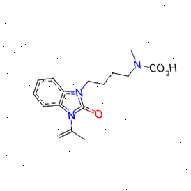 C=C(C)n1c(=O)n(CCCCN(C)C(=O)O)c2ccccc21